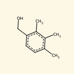 Cc1ccc(CO)c(C)c1C